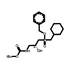 CC(C)(C)OC(=O)NC[C@@H](O)CP(=O)(CC1CCCCC1)OCc1ccccc1